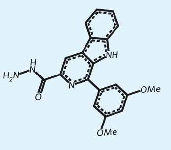 COc1cc(OC)cc(-c2nc(C(=O)NN)cc3c2[nH]c2ccccc23)c1